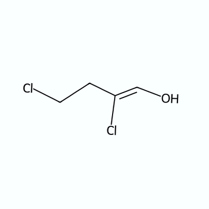 OC=C(Cl)CCCl